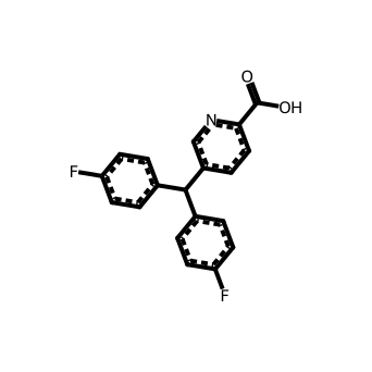 O=C(O)c1ccc(C(c2ccc(F)cc2)c2ccc(F)cc2)cn1